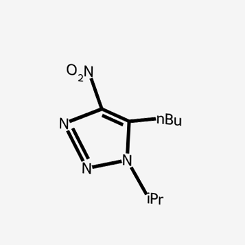 CCCCc1c([N+](=O)[O-])nnn1C(C)C